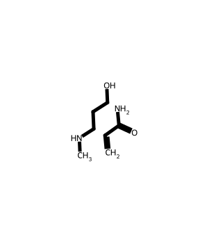 C=CC(N)=O.CNCCCO